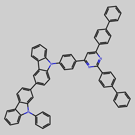 c1ccc(-c2ccc(-c3cc(-c4ccc(-n5c6ccccc6c6cc(-c7ccc8c9ccccc9n(-c9ccccc9)c8c7)ccc65)cc4)nc(-c4ccc(-c5ccccc5)cc4)n3)cc2)cc1